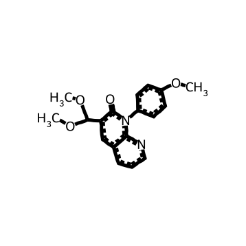 COc1ccc(-n2c(=O)c(C(OC)OC)cc3cccnc32)cc1